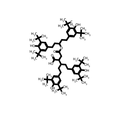 CC(C)(C)c1cc(CCC(CCc2cc(C(C)(C)C)c(O)c(C(C)(C)C)c2)OC(=O)CC(C(=O)O)C(CCc2cc(C(C)(C)C)c(O)c(C(C)(C)C)c2)CCc2cc(C(C)(C)C)c(O)c(C(C)(C)C)c2)cc(C(C)(C)C)c1O